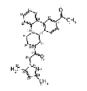 CC(=O)c1cccc(-c2ccccc2N2CCN(C(=O)Cn3nc(C)cc3C)CC2)c1